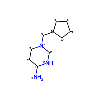 NC1CCN(CC2CCCC2)CN1